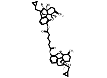 C=C1CC[C@@]2(O)[C@H]3Cc4ccc(OC(=O)CCCCC(=O)Oc5ccc6c7c5O[C@H]5C(=C)CC[C@@]8(O)[C@@H](C6)N(CC6CC6)CC[C@]758)c5c4[C@@]2(CCN3CC2CC2)[C@H]1O5